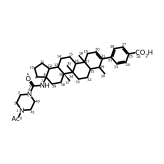 CC(=O)N1CCN(C(=O)NC23CCCC2C2CCC4C5(C)CC=C(c6ccc(C(=O)O)cc6)C(C)C5CCC4(C)[C@]2(C)CC3)CC1